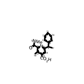 CNC(=O)c1nc(C(C)c2ccccc2)cc(C(=O)O)c1C